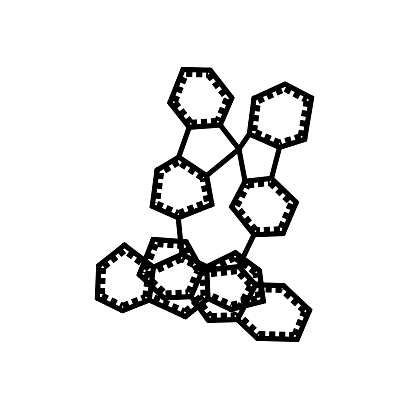 c1ccc2c(c1)-c1ccc(-c3c4ccccc4cc4ccccc34)cc1C21c2ccccc2-c2ccc(-c3c4ccccc4cc4ccccc34)cc21